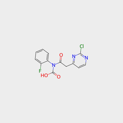 O=C(O)N(C(=O)Cc1ccnc(Cl)n1)c1ccccc1F